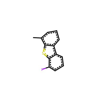 Cc1cccc2c1sc1c(I)cccc12